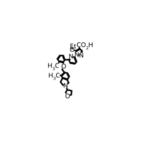 CCOc1c(C(=O)O)cnn1-c1cccc(-c2cccc(C)c2OCc2ccc3c(c2C)CCN(C2CCOC2)C3)n1